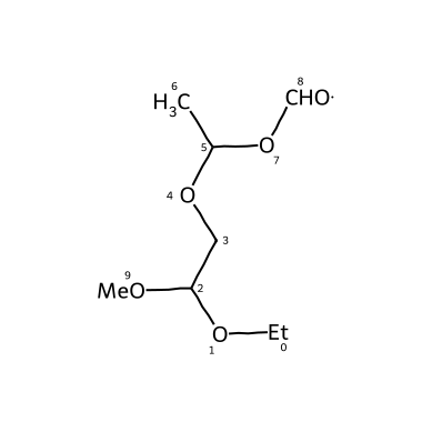 CCOC(COC(C)O[C]=O)OC